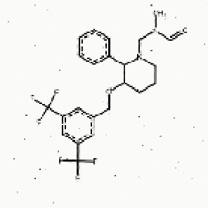 CN(C=O)CN1CCCC(OCc2cc(C(F)(F)F)cc(C(F)(F)F)c2)C1c1ccccc1